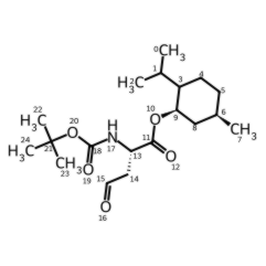 CC(C)C1CC[C@@H](C)C[C@H]1OC(=O)[C@H](CC=O)NC(=O)OC(C)(C)C